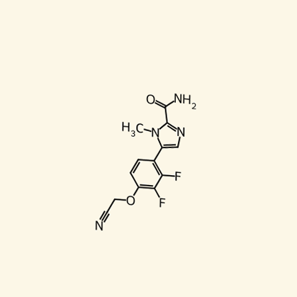 Cn1c(-c2ccc(OCC#N)c(F)c2F)cnc1C(N)=O